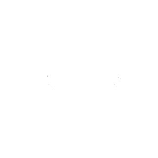 CCOC(=O)c1cc(C)nn1CCCCCc1c(C)nn(CC)c1C(=O)OCC